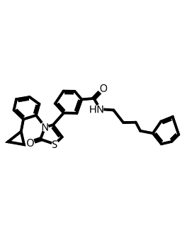 O=C(NCCCCc1ccccc1)c1cccc(-c2csc(=O)n2-c2ccccc2C2CC2)c1